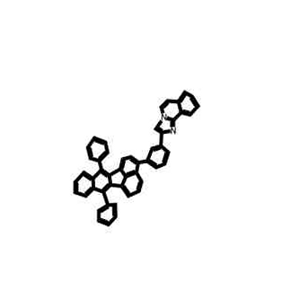 c1ccc(-c2c3c(c(-c4ccccc4)c4ccccc24)-c2ccc(-c4cccc(-c5cn6ccc7ccccc7c6n5)c4)c4cccc-3c24)cc1